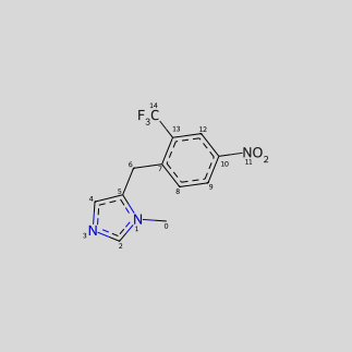 Cn1cncc1Cc1ccc([N+](=O)[O-])cc1C(F)(F)F